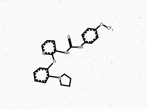 O=C(Nc1ccc(OC(F)(F)F)cc1)Nc1cccnc1Oc1ccccc1N1CCCC1